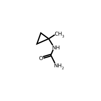 CC1(NC(N)=O)CC1